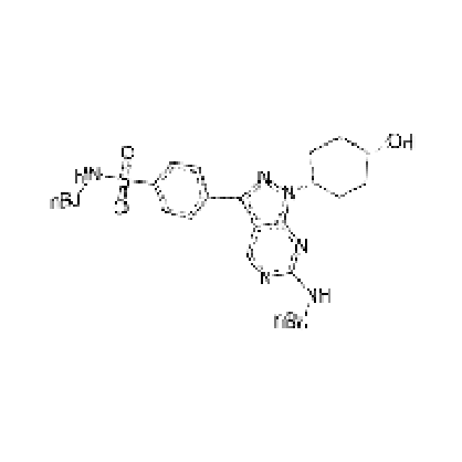 CCCCNc1ncc2c(-c3ccc(S(=O)(=O)NCCCC)cc3)nn([C@H]3CC[C@@H](O)CC3)c2n1